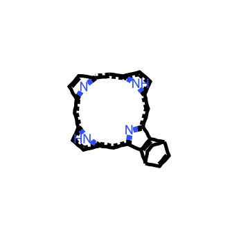 C1=Cc2cc3ccc(cc4nc(cc5ccc(cc1n2)[nH]5)C1=C4C2C=CC1CC2)[nH]3